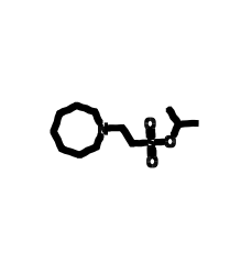 CC(C)OS(=O)(=O)CCN1CCCCCCC1